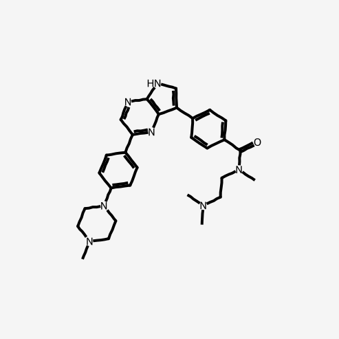 CN(C)CCN(C)C(=O)c1ccc(-c2c[nH]c3ncc(-c4ccc(N5CCN(C)CC5)cc4)nc23)cc1